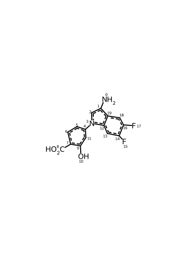 Nc1cn(-c2ccc(C(=O)O)c(O)c2)c2cc(F)c(F)cc12